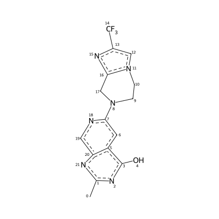 Cc1nc(O)c2cc(N3CCn4cc(C(F)(F)F)nc4C3)ncc2n1